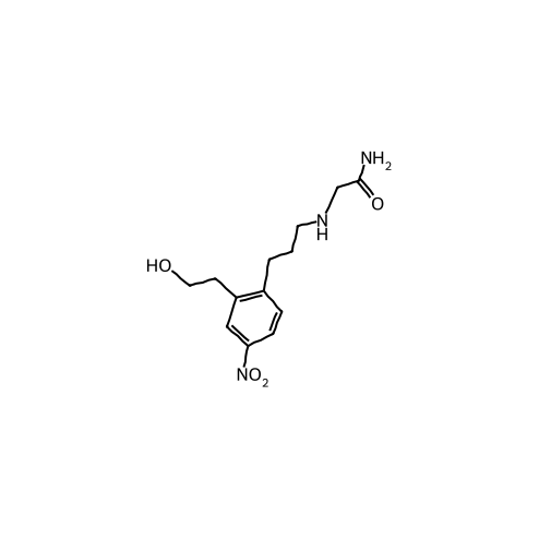 NC(=O)CNCCCc1ccc([N+](=O)[O-])cc1CCO